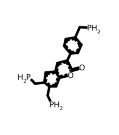 O=c1oc2cc(CP)c(CP)cc2cc1-c1ccc(CP)cc1